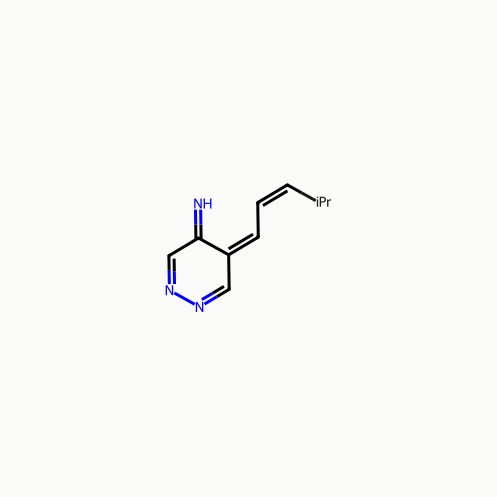 CC(C)/C=C\C=C1\C=NN=CC1=N